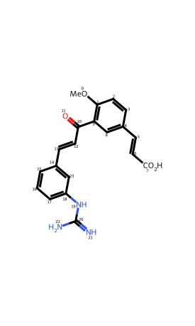 COc1ccc(C=CC(=O)O)cc1C(=O)C=Cc1cccc(NC(=N)N)c1